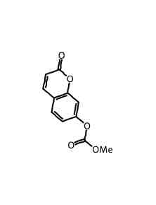 COC(=O)Oc1ccc2ccc(=O)oc2c1